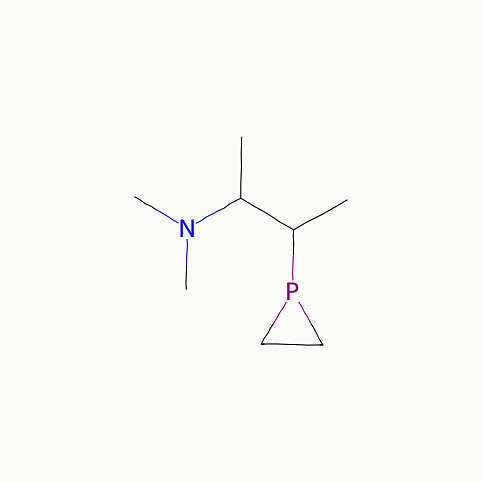 CC(C(C)P1CC1)N(C)C